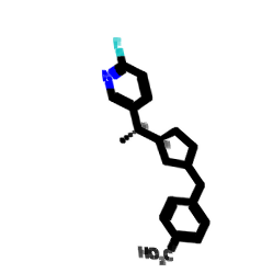 C[C@H](c1ccc(F)nc1)[C@H]1CCC(Cc2ccc(C(=O)O)cc2)C1